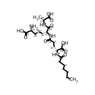 CCCCCCC(=O)N[C@H](CCC(=O)N[C@H](CSC[C@H](N)C(=O)O)C(=O)N[C@H](C)C(=O)O)C(=O)O